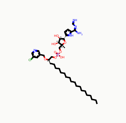 CCCCCCCCCCCCCCCCCCC[C@H](COP(=O)(O)OC[C@@]1(C)O[C@@H](c2ccc(/C(N)=N\C=N)[nH]2)[C@H](O)[C@@H]1O)OCc1cncc(Cl)c1